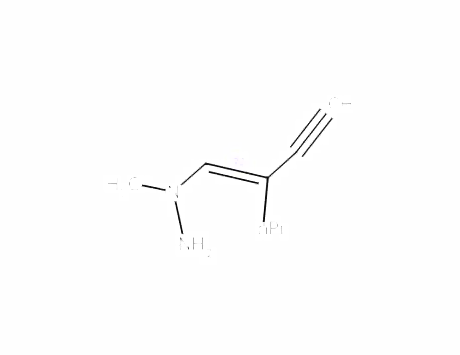 C#C/C(=C/N(C)N)CCC